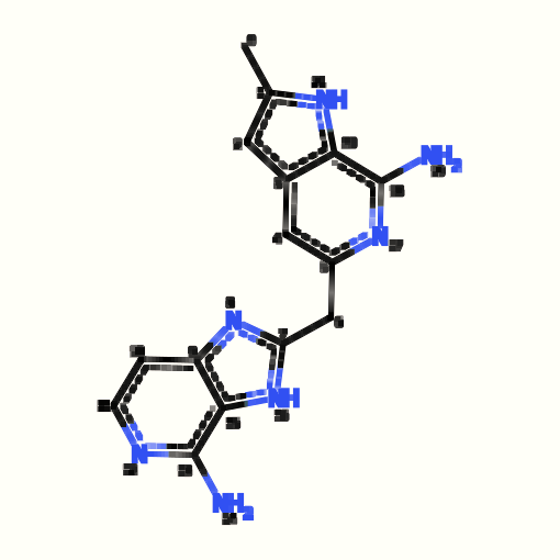 Cc1cc2cc(Cc3nc4ccnc(N)c4[nH]3)nc(N)c2[nH]1